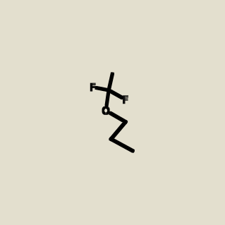 CCCOC(C)(F)F